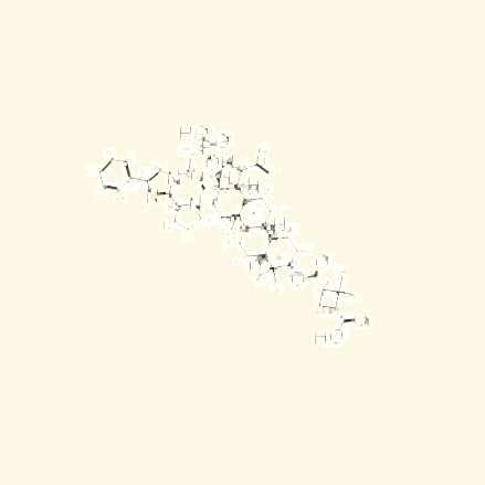 C=C(C)[C@@H]1CC[C@]2(C(=O)N3CCC[C@H]3c3nc(-c4ccccc4)cn3CCP(=O)(O)O)CC[C@]3(C)[C@H](CC[C@@H]4[C@@]5(C)CC[C@H](OC(=O)[C@H]6C[C@@H](C(=O)O)C6(C)C)C(C)(C)[C@@H]5CC[C@]43C)[C@@H]12